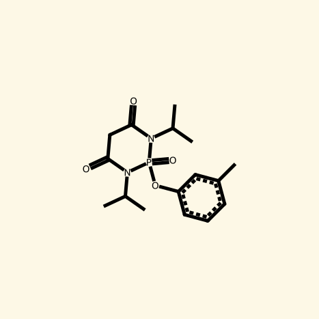 Cc1cccc(OP2(=O)N(C(C)C)C(=O)CC(=O)N2C(C)C)c1